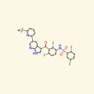 Cc1cccc(-c2cnc3[nH]cc(C(=O)c4c(F)ccc(NS(=O)(=O)c5cc(F)ccc5F)c4F)c3c2)n1